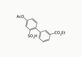 CCOC(=O)c1cccc(-c2ccc(OC(C)=O)cc2S(=O)(=O)O)c1